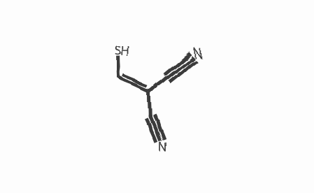 N#CC(C#N)=CS